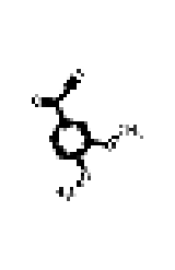 COc1ccc(C(=O)C#N)cc1OC